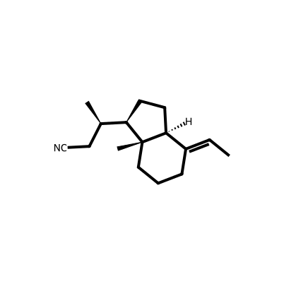 C/C=C1\CCC[C@]2(C)[C@@H]([C@H](C)CC#N)CC[C@@H]12